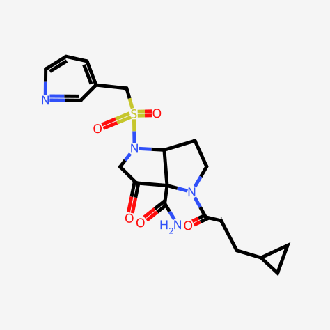 NC(=O)C12C(=O)CN(S(=O)(=O)Cc3cccnc3)C1CCN2C(=O)[CH]CC1CC1